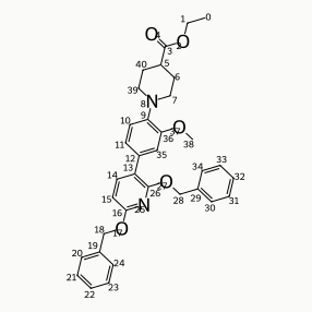 CCOC(=O)C1CCN(c2ccc(-c3ccc(OCc4ccccc4)nc3OCc3ccccc3)cc2OC)CC1